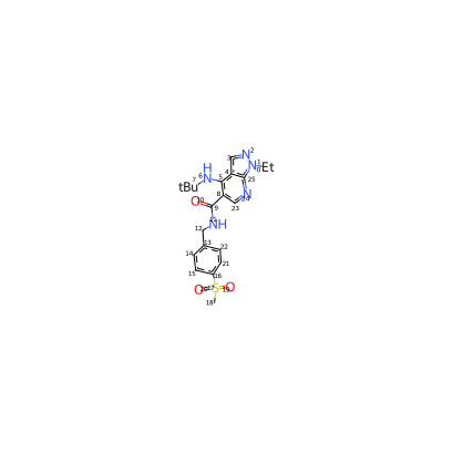 CCn1ncc2c(NC(C)(C)C)c(C(=O)NCc3ccc(S(C)(=O)=O)cc3)cnc21